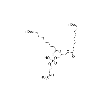 CCCCCCCCCCCCCCCCCC(=O)OCC(COP(=O)(O)OCCNC(=O)O)OC(=O)CCCCCCCCCCCCCCCCC